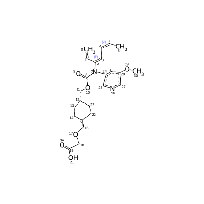 C=C/C(=C\C=C/C)N(C(=O)OC[C@H]1CC[C@H](COCC(=O)O)CC1)c1cncc(OC)c1